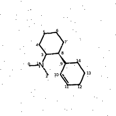 CN(C)C1CCCC[C@H]1C1C=CCCC1